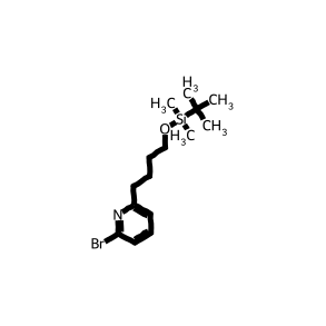 CC(C)(C)[Si](C)(C)OCCCCc1cccc(Br)n1